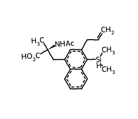 C=CCc1cc(C[C@](C)(NC(C)=O)C(=O)O)c2ccccc2c1[SiH](C)C